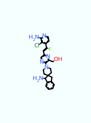 Nc1nccc(C(F)=Cc2cnc(N3CCC4(CC3)Cc3ccccc3C4N)c(CO)n2)c1Cl